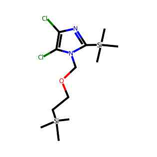 C[Si](C)(C)CCOCn1c([Si](C)(C)C)nc(Cl)c1Cl